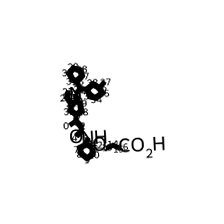 C/C(=C\C(=O)Nc1ccccc1OCCCC(=O)O)c1ccc2c(ccn2C(c2ccccc2)c2cccc(C)c2)c1